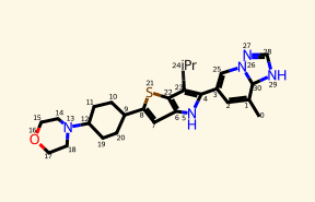 CC1=CC(c2[nH]c3cc(C4CCC(N5CCOCC5)CC4)sc3c2C(C)C)=CN2N=CNC12